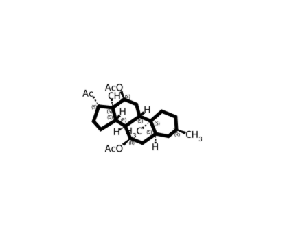 CC(=O)O[C@H]1C[C@H]2[C@@H]([C@H](OC(C)=O)C[C@@H]3C[C@H](C)CC[C@@]32C)[C@@H]2CC[C@H](C(C)=O)[C@@]12C